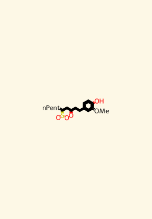 CCCCCC(CC(=O)CCc1ccc(O)c(OC)c1)=S(=O)=O